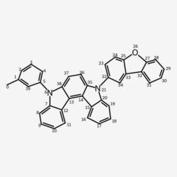 Cc1cccc(-n2c3ccccc3c3c4c5ccccc5n(-c5ccc6oc7ccccc7c6c5)c4ccc32)c1